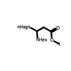 CCCCCCCC(CCCCCC)CC(=O)OI